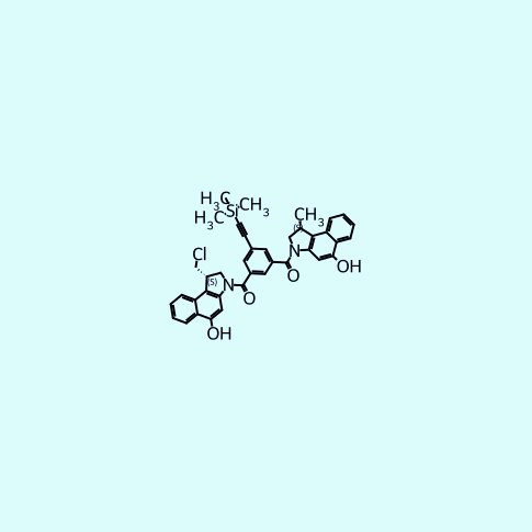 C[C@@H]1CN(C(=O)c2cc(C#C[Si](C)(C)C)cc(C(=O)N3C[C@@H](CCl)c4c3cc(O)c3ccccc43)c2)c2cc(O)c3ccccc3c21